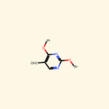 CC(C)Oc1ncc(C=O)c(OC(C)C)n1